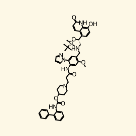 COc1cc(NC(=O)CCN2CCC(OC(=O)Nc3ccccc3-c3ccccc3)CC2)c(-n2cccn2)cc1CNC[C@H](O[Si](C)(C)C(C)(C)C)c1ccc(O)c2[nH]c(=O)ccc12